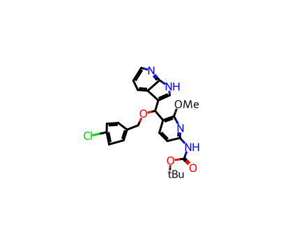 COc1nc(NC(=O)OC(C)(C)C)ccc1C(OCc1ccc(Cl)cc1)c1c[nH]c2ncccc12